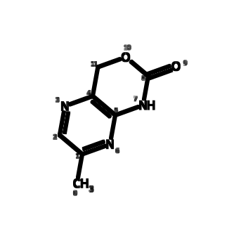 Cc1cnc2c(n1)NC(=O)OC2